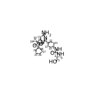 CC(C)(CO)NC(=O)Nc1ccc(-c2nc(N)cc(C3(S(=O)(=O)c4ccccc4)CC3)n2)cc1